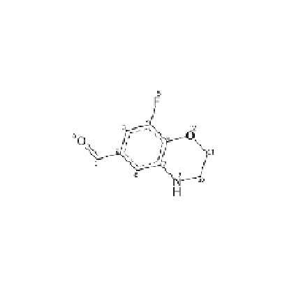 O=Cc1cc(F)c2c(c1)NCCO2